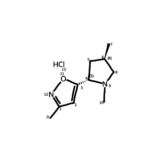 Cc1cc([C@@H]2C[C@@H](C)CN2C)on1.Cl